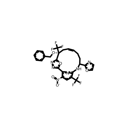 O=[N+]([O-])c1cc(C(F)(F)F)c2nc1-c1nnc(o1)[C@@](OCc1ccccc1)(C(F)(F)F)CC=CCCC(c1ncco1)N2